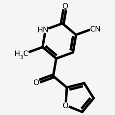 Cc1[nH]c(=O)c(C#N)cc1C(=O)c1ccco1